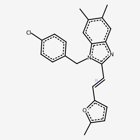 Cc1ccc(/C=C/c2nc3cc(C)c(C)cc3n2Cc2ccc(Cl)cc2)o1